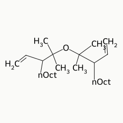 C=CC(CCCCCCCC)C(C)(C)OC(C)(C)C(C=C)CCCCCCCC